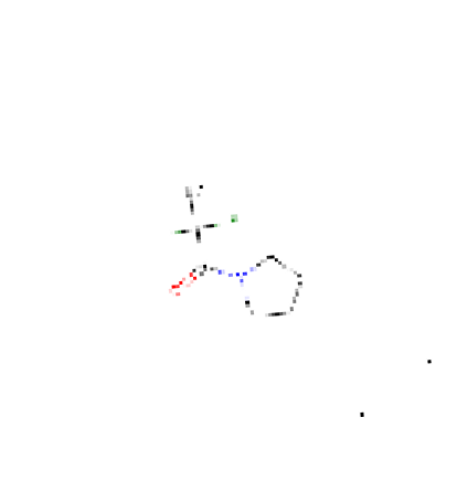 CCC(F)(F)C(=O)N1CCCC1